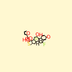 C[C@@H]1C[C@H]2[C@@H]3C[C@H](F)C4=CC(=O)C=C[C@]4(C)C3(F)[C@@H](O)C[C@]2(C)[C@@]1(OC(=O)c1ccco1)C(O)=S